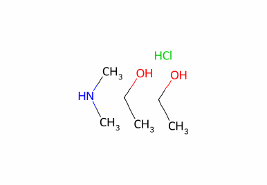 CCO.CCO.CNC.Cl